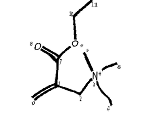 C=C(C[N+](C)(C)C)C(=O)OCC